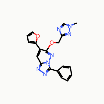 Cn1cnc(COc2nn3c(-c4ccccc4)nnc3cc2-c2ccco2)n1